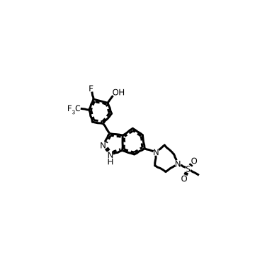 CS(=O)(=O)N1CCN(c2ccc3c(-c4cc(O)c(F)c(C(F)(F)F)c4)n[nH]c3c2)CC1